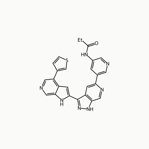 CCC(=O)Nc1cncc(-c2cc3c(-c4cc5c(-c6ccsc6)cncc5[nH]4)n[nH]c3cn2)c1